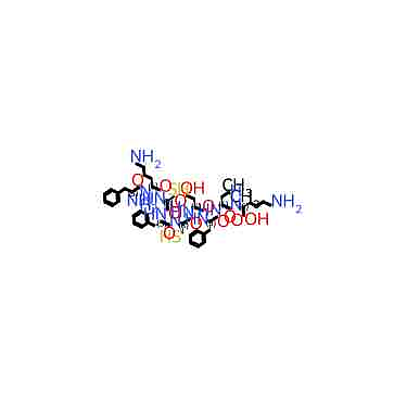 CC(C)C[C@H](NC(=O)[C@H](Cc1ccccc1)NC(=O)[C@H](CC(=O)O)NC(=O)[C@H](CS)NC(=O)[C@H](Cc1ccccc1)NC(=O)[C@H](CS)NC(=O)[C@H](CCCCN)NC(=O)[C@@H](N)Cc1ccccc1)C(=O)N[C@@H](CCCCN)C(=O)O